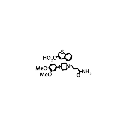 COc1ccc(N2CCN(CCCC(N)=O)CC2)cc1OC.O=C(O)C1=Cc2ccccc2SC1